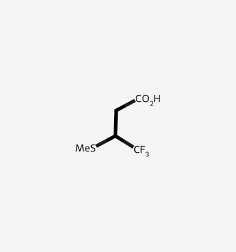 CSC(CC(=O)O)C(F)(F)F